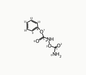 NC(=O)ONC(=O)Oc1ccccc1